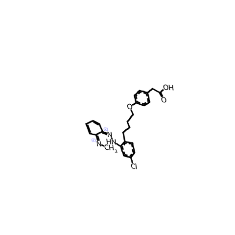 C/N=C1/C=CC=C/C1=N/Nc1cc(Cl)ccc1CCCCOc1ccc(CC(=O)O)cc1